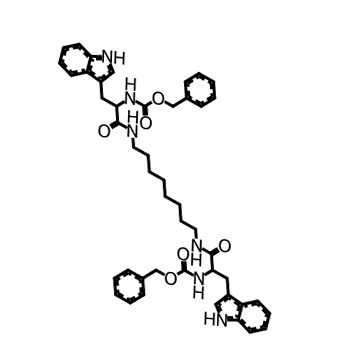 O=C(NC(Cc1c[nH]c2ccccc12)C(=O)NCCCCCCCCNC(=O)C(Cc1c[nH]c2ccccc12)NC(=O)OCc1ccccc1)OCc1ccccc1